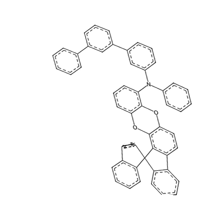 c1ccc(-c2cccc(-c3cccc(N(c4ccccc4)c4cccc5c4Oc4ccc6c(c4O5)C4(c5ccccc5-c5ccccc54)c4ccccc4-6)c3)c2)cc1